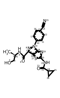 C[C@H](CO)NC(=O)c1nn(-c2ccc(C#N)cc2)c2nc(NC(=O)C3CC3)sc12